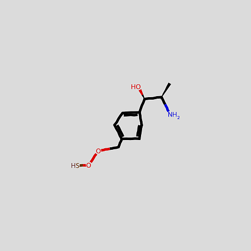 C[C@@H](N)[C@H](O)c1ccc(COOS)cc1